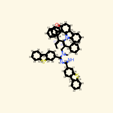 C/C=C(\C(=C(/CN(C)/C(=N\C(=N)c1ccc2c(c1)sc1ccccc12)c1ccc2c(c1)sc1ccccc12)c1ccccc1)n1c2ccccc2c2ccc3oc4ccccc4c3c21)c1ccccc1